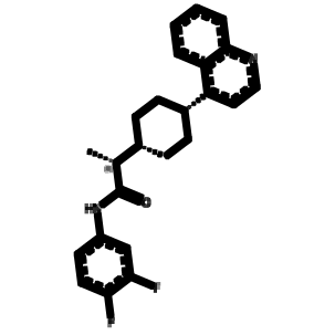 C[C@@H](C(=O)Nc1ccc(F)c(F)c1)[C@H]1CC[C@@H](c2ccnc3ccccc32)CC1